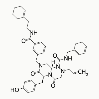 C=CCN1CC(=O)N2[C@@H](Cc3ccc(O)cc3)C(=O)N(Cc3cccc(C(=O)NCCC4=CCCCC4)c3)C[C@@H]2N1C(=O)NCC1=CC=CCC1